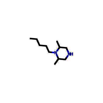 CCCCCN1C(C)CNCC1C